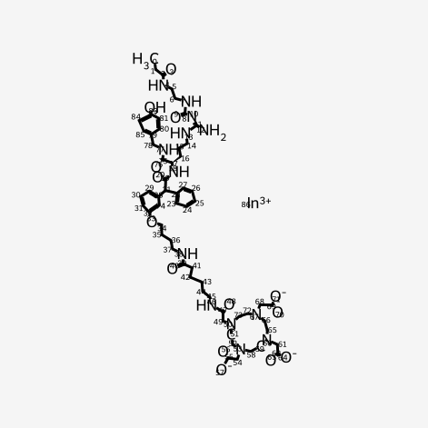 CCC(=O)NCCNC(=O)/N=C(/N)NCCC[C@@H](NC(=O)C(c1ccccc1)c1cccc(OCCCCNC(=O)CCCCCNC(=O)CN2CCN(CC(=O)[O-])CCN(CC(=O)[O-])CCN(CC(=O)[O-])CC2)c1)C(=O)NCc1ccc(O)cc1.[In+3]